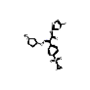 O=C(Nc1ncc(F)s1)/C(=N/O[C@H]1CC[C@@H](O)C1)c1ccc(S(=O)(=O)C2CC2)cc1